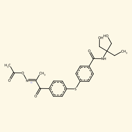 CCC(CO)(CO)NC(=O)c1ccc(Sc2ccc(C(=O)/C(C)=N/OC(C)=O)cc2)cc1